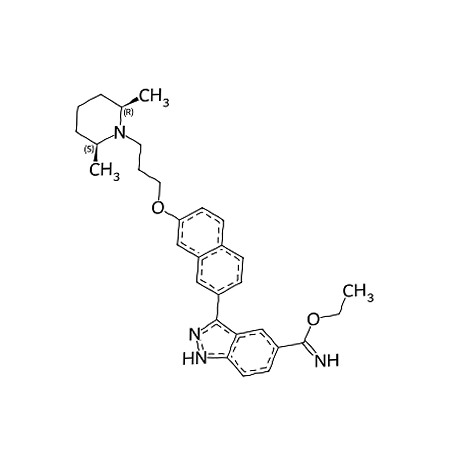 CCOC(=N)c1ccc2[nH]nc(-c3ccc4ccc(OCCCN5[C@H](C)CCC[C@@H]5C)cc4c3)c2c1